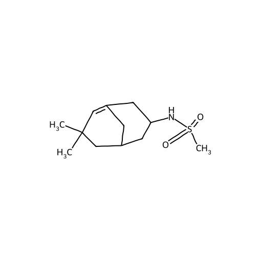 CC1(C)C=C2CC(CC(NS(C)(=O)=O)C2)C1